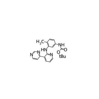 Cc1ccc(NC(=O)OC(C)(C)C)cc1Nc1ncccc1-c1ccncn1